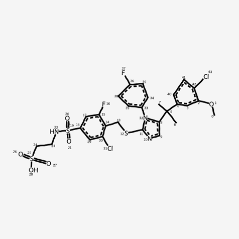 COc1cc(C(C)(C)c2cnc(SCc3c(F)cc(S(=O)(=O)NCCS(=O)(=O)O)cc3Cl)n2-c2ccc(F)cc2)ccc1Cl